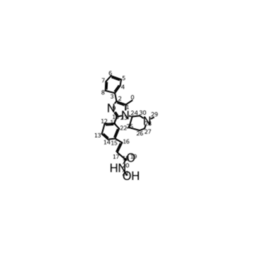 Cc1c(-c2ccccc2)nc(-c2cccc(C=CC(=O)NO)c2)n1[C@@H]1CCCN(C)C1